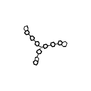 C1=Cc2cc(-c3ccc(-c4ccc(N(c5ccc(C6=Cc7ccccc7C6)cc5)c5ccc(-c6ccc(-c7ccc8c(c7)C=CCC8)cc6)cc5)cc4)cc3)ccc2CC1